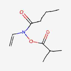 C=CN(OC(=O)C(C)C)C(=O)CCC